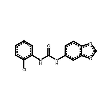 O=C(Nc1ccc2ncoc2c1)Nc1ccccc1Cl